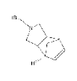 CC(C)(C)N1CC2C3C=C[C@H](C3)C2C1